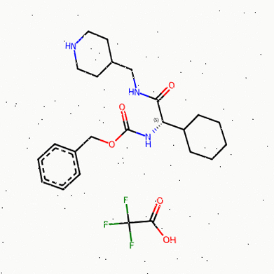 O=C(N[C@H](C(=O)NCC1CCNCC1)C1CCCCC1)OCc1ccccc1.O=C(O)C(F)(F)F